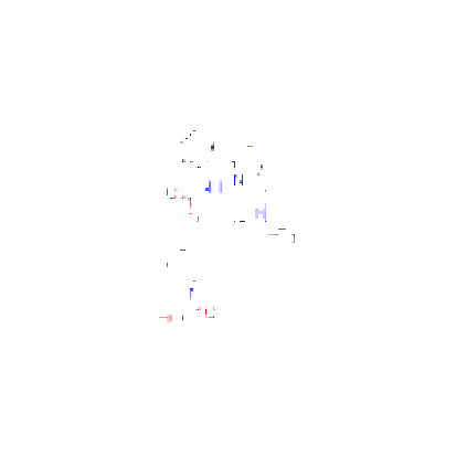 CN(C)Cc1csc(-c2ccccc2NC(=O)OCC2CCN(C(=O)O)CC2)n1